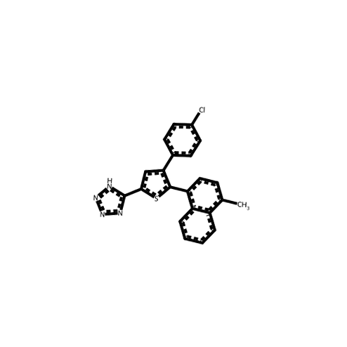 Cc1ccc(-c2sc(-c3nnn[nH]3)cc2-c2ccc(Cl)cc2)c2ccccc12